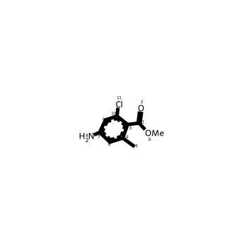 COC(=O)c1c(C)cc(N)cc1Cl